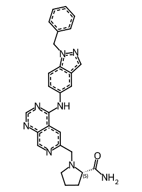 NC(=O)[C@@H]1CCCN1Cc1cc2c(Nc3ccc4c(cnn4Cc4ccccc4)c3)ncnc2cn1